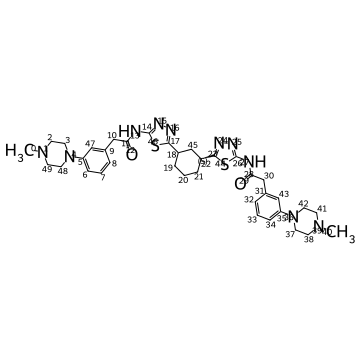 CN1CCN(c2cccc(CC(=O)Nc3nnc(C4CCC[C@H](c5nnc(NC(=O)Cc6cccc(N7CCN(C)CC7)c6)s5)C4)s3)c2)CC1